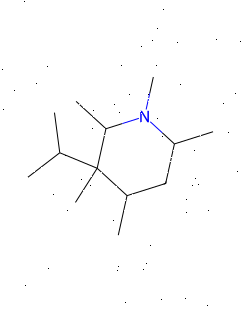 CC1CC(C)C(C)(C(C)C)C(C)N1C